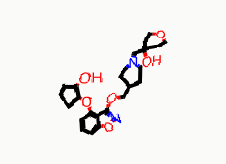 O[C@@H]1CCC[C@@H]1Oc1cccc2onc(OCC3CCN(CC4(O)CCOCC4)CC3)c12